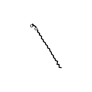 CCCCCCCCCCCCCCCCCCCCCCCCCOCC1CO1